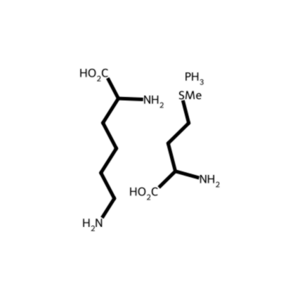 CSCCC(N)C(=O)O.NCCCCC(N)C(=O)O.P